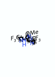 COc1cc(Nc2ccc(C(F)(F)F)cn2)c2ccc(-c3ncccc3C(F)(F)F)nc2n1